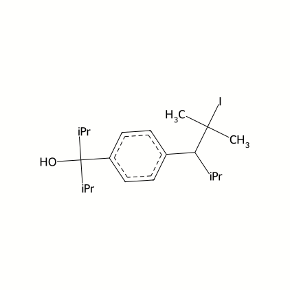 CC(C)C(c1ccc(C(O)(C(C)C)C(C)C)cc1)C(C)(C)I